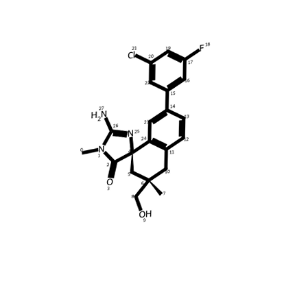 CN1C(=O)[C@]2(C[C@@](C)(CO)Cc3ccc(-c4cc(F)cc(Cl)c4)cc32)N=C1N